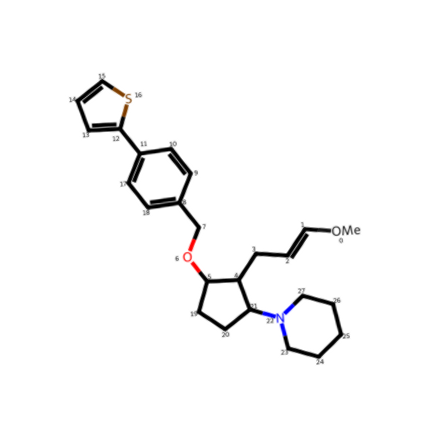 COC=CCC1C(OCc2ccc(-c3cccs3)cc2)CCC1N1CCCCC1